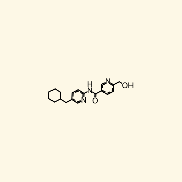 O=C(Nc1ccc(CC2CCCCC2)cn1)c1ccc(CO)nc1